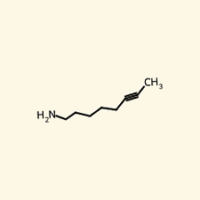 CC#CCCCCCN